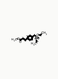 CCOP(=O)(Cc1ccc(C=CC(=O)OC)cc1)OCC